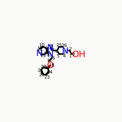 OCCN1CCC(c2nc3ccncc3n2CCOc2ccccc2)CC1